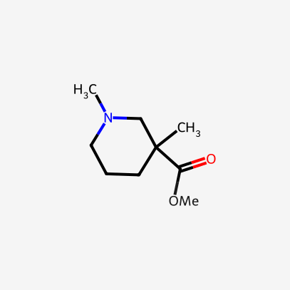 COC(=O)C1(C)CCCN(C)C1